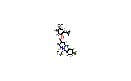 O=C(O)c1cc(C2CC2)c(OCC2CCN(C(c3ccc(F)cc3Cl)C(F)(F)F)CC2)cc1F